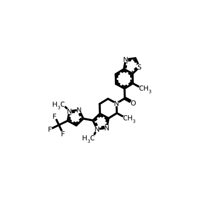 Cc1c(C(=O)N2CCc3c(nn(C)c3-c3cc(C(F)(F)F)n(C)n3)C2C)ccc2ncsc12